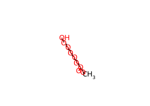 COCC(=O)OCCOCCOCCOCCOCCOCCO